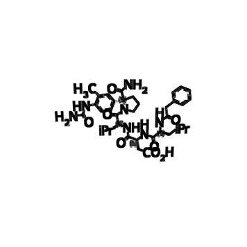 Cc1cc([C@]2(C(N)=O)CCCN2C(=O)[C@@H](NC(=O)[C@H](CC(=O)O)NC(=O)[C@H](CC(C)C)NC(=O)Cc2ccccc2)C(C)C)ccc1NC(N)=O